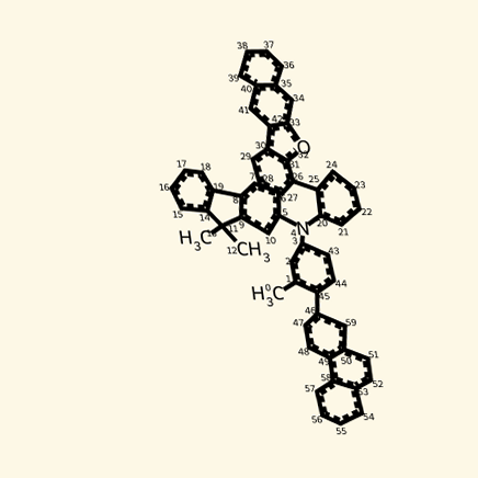 Cc1cc(N(c2ccc3c(c2)C(C)(C)c2ccccc2-3)c2ccccc2-c2cccc3c2oc2cc4ccccc4cc23)ccc1-c1ccc2c(ccc3ccccc32)c1